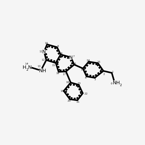 NCc1ccc(-c2nc3ccnc(NN)c3cc2-c2ccccc2)cc1